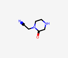 N#CCN1CCNCC1=O